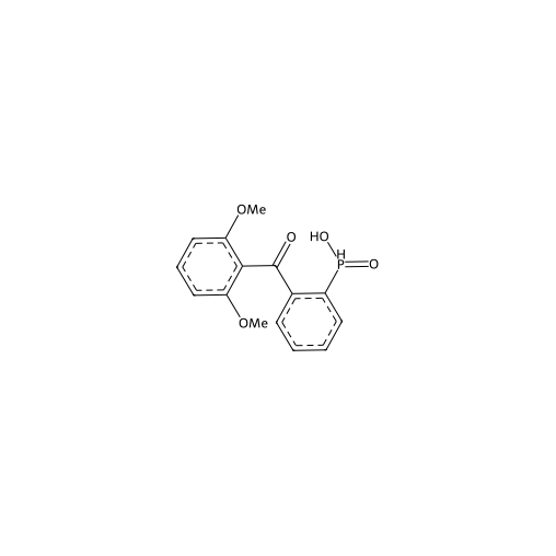 COc1cccc(OC)c1C(=O)c1ccccc1[PH](=O)O